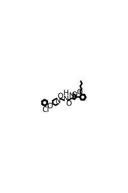 CCCCOc1ccccc1-c1cc(C(=O)NCC(=O)N2CCC(Oc3ccccc3Cl)CC2)no1